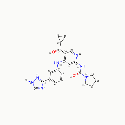 Cn1cnc(-c2cccc(Nc3cc(NC(=O)N4CCCC4)ncc3C(=O)C3CC3)c2)n1